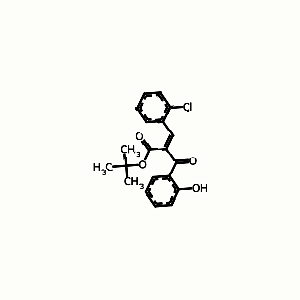 CC(C)(C)OC(=O)C(=Cc1ccccc1Cl)C(=O)c1ccccc1O